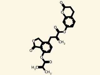 C=C(C)C(=O)Oc1ccc(CC(=C)C(=O)Oc2ccc3c(c2)OC(=O)CC3)c2c1C(=O)OC2